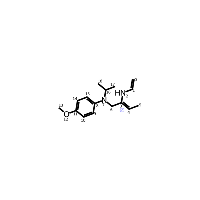 C=CN/C(=C\C)CN(c1ccc(OC)cc1)C(C)C